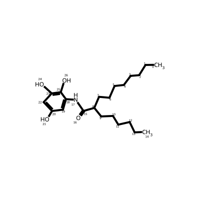 CCCCCCCCC(CCCCCC)C(=O)Nc1cc(O)cc(O)c1O